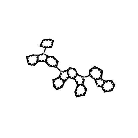 c1ccc(-n2c3ccccc3c3cc(-n4c5ccccc5c5c6c7ccccc7n(-c7cccc8c7sc7ccccc78)c6ccc54)ccc32)cc1